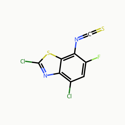 Fc1cc(Cl)c2nc(Cl)sc2c1N=C=S